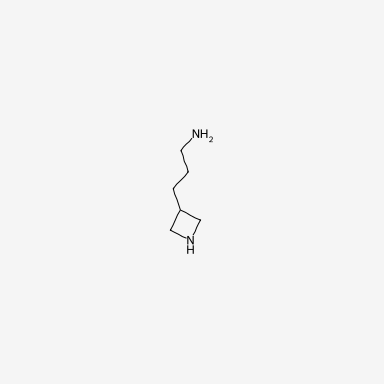 NCCCC1CNC1